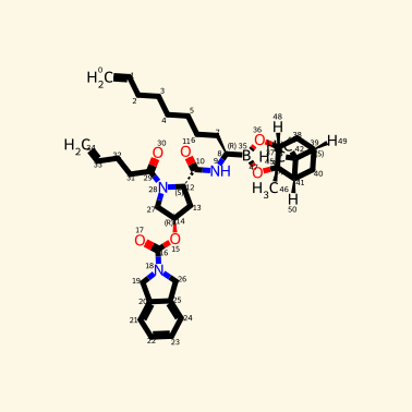 C=CCCCCCC[C@H](NC(=O)[C@@H]1C[C@@H](OC(=O)N2Cc3ccccc3C2)CN1C(=O)CCC=C)B1O[C@@H]2C[C@@H]3C[C@@H](C3(C)C)[C@]2(C)O1